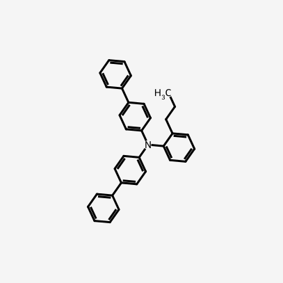 CCCc1ccccc1N(c1ccc(-c2ccccc2)cc1)c1ccc(-c2ccccc2)cc1